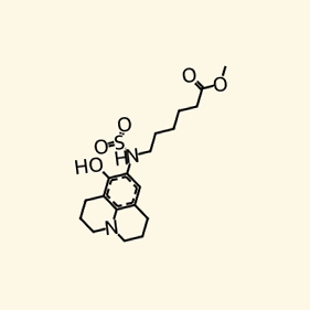 COC(=O)CCCCCN(c1cc2c3c(c1O)CCCN3CCC2)[SH](=O)=O